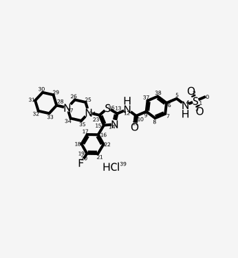 CS(=O)(=O)NCc1ccc(C(=O)Nc2nc(-c3ccc(F)cc3)c(N3CCN(C4CCCCC4)CC3)s2)cc1.Cl